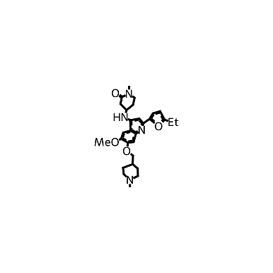 CCc1ccc(-c2cc(NC3CCN(C)C(=O)C3)c3cc(OC)c(OCC4CCN(C)CC4)cc3n2)o1